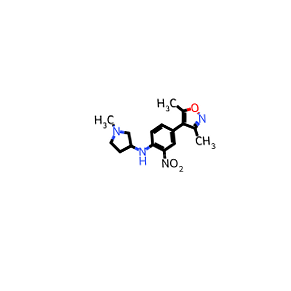 Cc1noc(C)c1-c1ccc(NC2CCN(C)C2)c([N+](=O)[O-])c1